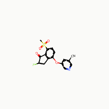 CS(=O)(=O)c1ccc(Oc2cncc(C#N)c2)c2c1C(=O)C(F)C2